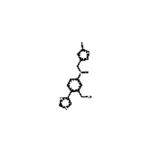 Cc1cc(CN(C)c2ccc(-c3cnco3)c(CO)c2)cs1